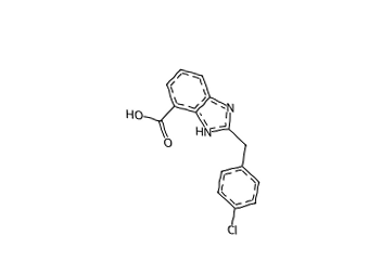 O=C(O)c1cccc2nc(Cc3ccc(Cl)cc3)[nH]c12